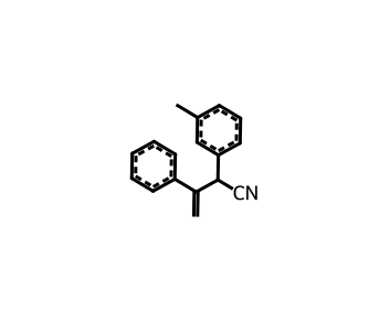 C=C(c1ccccc1)C(C#N)c1cccc(C)c1